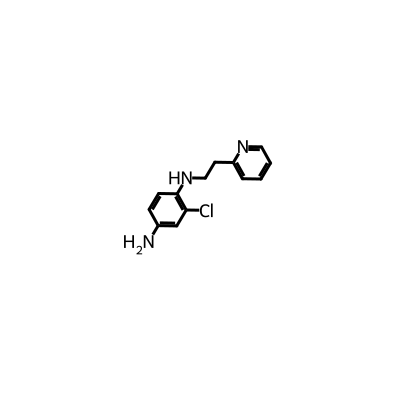 Nc1ccc(NCCc2ccccn2)c(Cl)c1